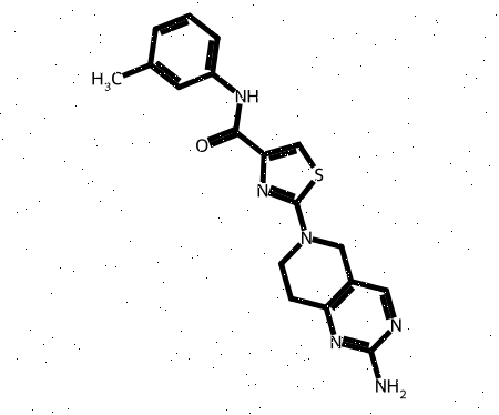 Cc1cccc(NC(=O)c2csc(N3CCc4nc(N)ncc4C3)n2)c1